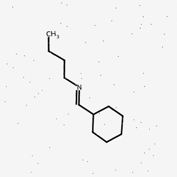 CCCCN=CC1CCCCC1